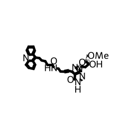 COC[C@H]1O[C@@H](n2nc(C#CCCNC(=O)CCCCc3c4ccccc4nc4ccccc34)c3c(=O)[nH]cnc32)CC1O